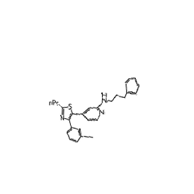 CCCc1nc(-c2cccc(C)c2)c(-c2ccnc(NCCCc3ccccc3)c2)s1